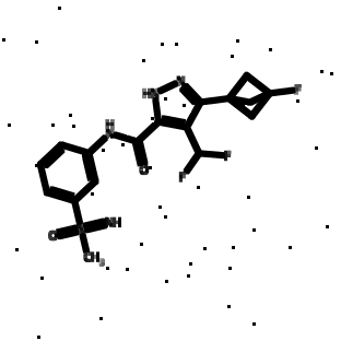 CS(=N)(=O)c1cccc(NC(=O)c2[nH]nc(C34CC(F)(C3)C4)c2C(F)F)c1